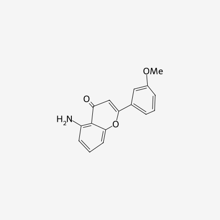 COc1cccc(-c2cc(=O)c3c(N)cccc3o2)c1